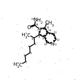 CCCCCCC(C)c1c2cnccc2c(C)n1C(N)=O